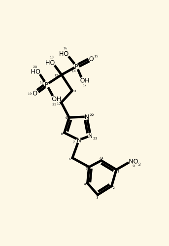 O=[N+]([O-])c1cccc(Cn2cc(CCC(O)(P(=O)(O)O)P(=O)(O)O)nn2)c1